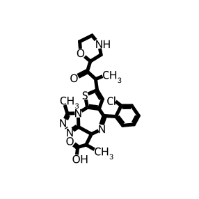 Cc1nnc2n1-c1sc(C(C)C(=O)C3CNCCO3)cc1C(c1ccccc1Cl)=NC2C(C)C(=O)O